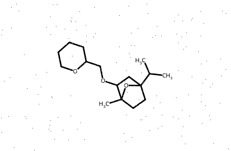 CC(C)C12CCC(C)(O1)C(OCC1CCCCO1)C2